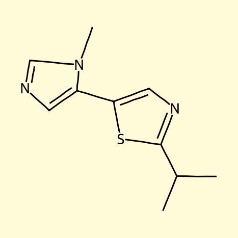 CC(C)c1ncc(-c2cncn2C)s1